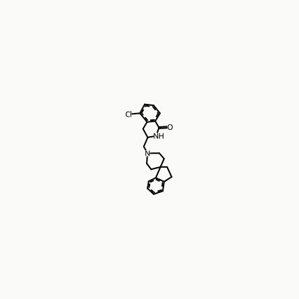 O=C1NC(CN2CCC3(CCc4ccccc43)CC2)Cc2c(Cl)cccc21